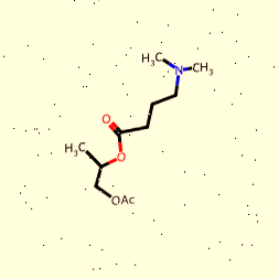 CC(=O)OCC(C)OC(=O)CCCN(C)C